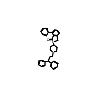 O=C1c2c(cccc2-c2ccccc2)CN1C1CCN(CCC(c2ccccc2)c2ccccc2)CC1